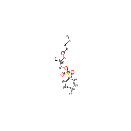 CCCCOC[C@H](C)COS(=O)(=O)c1ccc(C)cc1